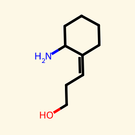 NC1CCCCC1=CCCO